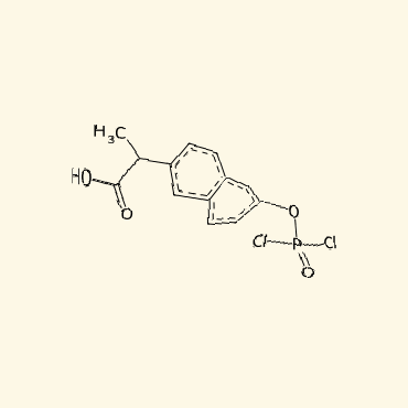 CC(C(=O)O)c1ccc2cc(OP(=O)(Cl)Cl)ccc2c1